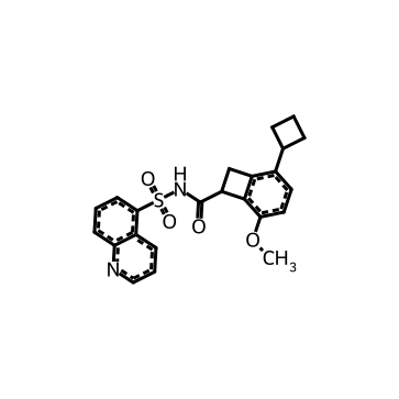 COc1ccc(C2CCC2)c2c1C(C(=O)NS(=O)(=O)c1cccc3ncccc13)C2